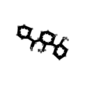 Cc1ccccc1-c1nccc(C(=O)c2ccccc2)c1N